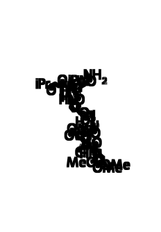 COC(=O)c1cc2c3c(cc(OC(=O)N(C)CCN(C)C(=O)OCC4=CCC(C)(NC(=O)[C@H](CCCNC(N)=O)NC(=O)[C@@H](NC(=O)CCC(=O)C(C)C)C(C)C)C=C4)c2[nH]1)N(C(=O)c1cc2cc(OC)c(OC)c(OC)c2[nH]1)C[C@H]3CCl